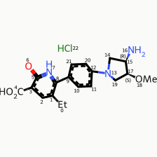 CCc1cc(C(=O)O)c(=O)[nH]c1-c1ccc(N2C[C@@H](N)[C@@H](OC)C2)cc1.Cl